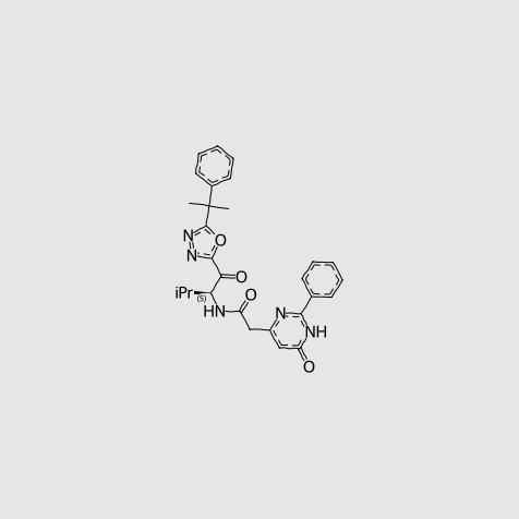 CC(C)[C@H](NC(=O)Cc1cc(=O)[nH]c(-c2ccccc2)n1)C(=O)c1nnc(C(C)(C)c2ccccc2)o1